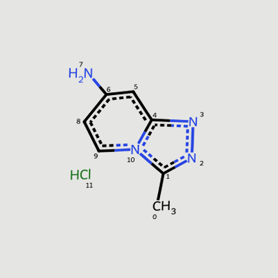 Cc1nnc2cc(N)ccn12.Cl